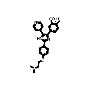 Cc1ccc(-c2nc(-c3ccc(OCCN(C)C)cc3)[nH]c2-c2ccncc2)cc1C(=O)O